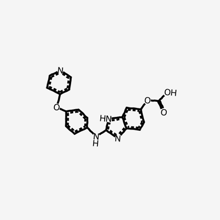 O=C(O)Oc1ccc2nc(Nc3ccc(Oc4ccncc4)cc3)[nH]c2c1